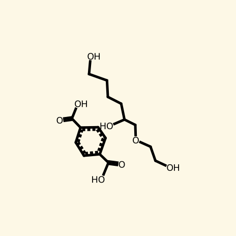 O=C(O)c1ccc(C(=O)O)cc1.OCCCCC(O)COCCO